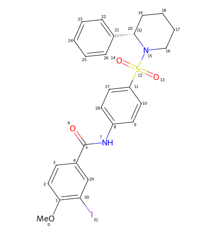 COc1ccc(C(=O)Nc2ccc(S(=O)(=O)N3CCCC[C@H]3c3ccccc3)cc2)cc1I